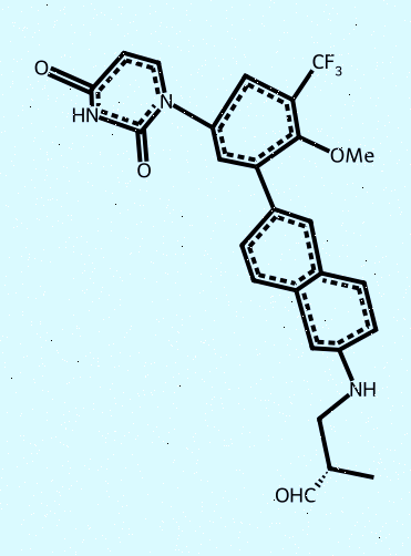 COc1c(-c2ccc3cc(NC[C@H](C)C=O)ccc3c2)cc(-n2ccc(=O)[nH]c2=O)cc1C(F)(F)F